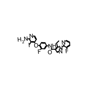 CCc1c(C(=O)Nc2ccc(Oc3ccnc(N)c3I)c(F)c2)cnn1-c1ncccc1F